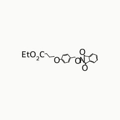 CCOC(=O)CCCOc1ccc(CON2C(=O)c3ccccc3C2=O)cc1